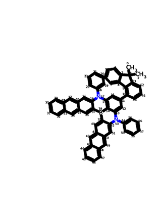 CC1(C)c2ccccc2-c2c(-c3cc4c5c(c3)N(c3ccccc3)c3cc6cc7ccccc7cc6cc3B5c3cc5cc6ccccc6cc5cc3N4c3ccccc3)cccc21